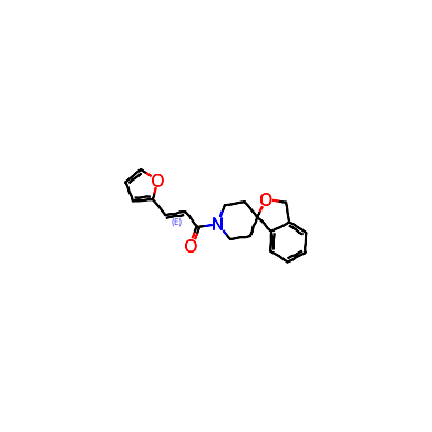 O=C(/C=C/c1ccco1)N1CCC2(CC1)OCc1ccccc12